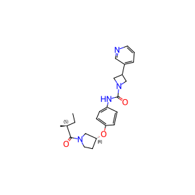 CC[C@H](C)C(=O)N1CC[C@@H](Oc2ccc(NC(=O)N3CC(c4cccnc4)C3)cc2)C1